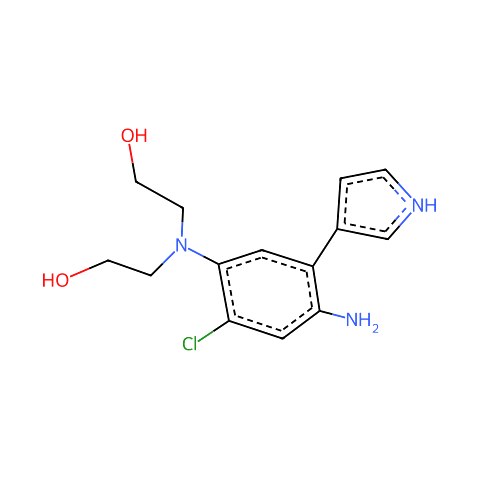 Nc1cc(Cl)c(N(CCO)CCO)cc1-c1cc[nH]c1